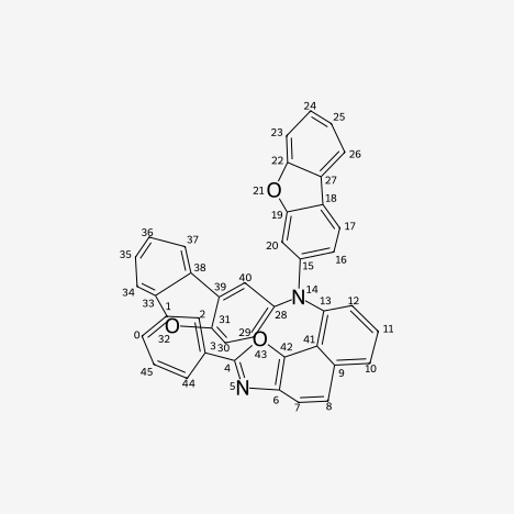 c1ccc(-c2nc3ccc4cccc(N(c5ccc6c(c5)oc5ccccc56)c5ccc6oc7ccccc7c6c5)c4c3o2)cc1